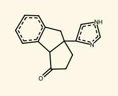 O=C1CCC2(c3c[nH]cn3)Cc3ccccc3C12